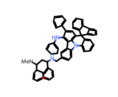 CNC(CC(NCc1ccc2c(c1)c1c(NC3=CCCC=C3)c(-c3ccccc3)cc3c1n2-c1ccccc1C31c2ccccc2-c2ccccc21)c1ccccc1)C1C=CC=CC1